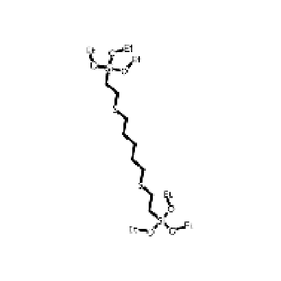 CCO[Si](CCSCCCCCSCC[Si](OCC)(OCC)OCC)(OCC)OCC